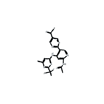 CC(=O)Nc1cc(Nc2cc(C)nc(C(C)(F)F)n2)c(-c2ncc(C(F)F)cn2)cn1